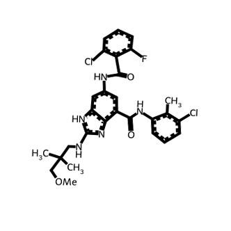 COCC(C)(C)CNc1nc2c(C(=O)Nc3cccc(Cl)c3C)cc(NC(=O)c3c(F)cccc3Cl)cc2[nH]1